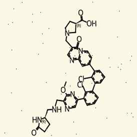 COc1nc(-c2cccc(-c3cccc(-c4ccn5c(=O)c(CN6CC[C@@H](C(=O)O)C6)cnc5c4)c3Cl)c2Cl)cnc1CNC[C@H]1CCC(=O)N1